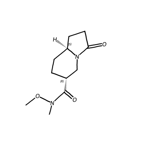 CON(C)C(=O)[C@@H]1CC[C@H]2CCC(=O)N2C1